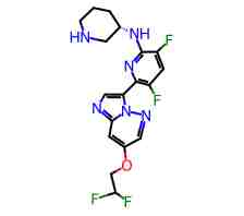 Fc1cc(F)c(-c2cnc3cc(OCC(F)F)cnn23)nc1N[C@H]1CCCNC1